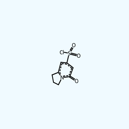 O=c1cc(S(=O)(=O)Cl)cc2n1CCC2